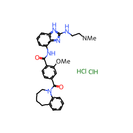 CNCCNc1nc2c(NC(=O)c3ccc(C(=O)N4CCCCc5ccccc54)cc3OC)cccc2[nH]1.Cl.Cl